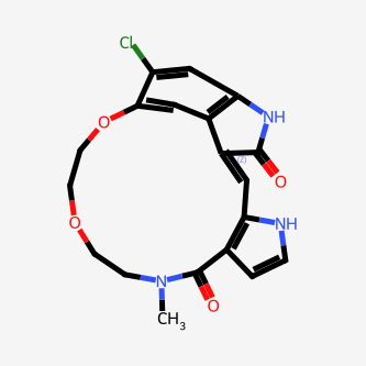 CN1CCOCCOc2cc3c(cc2Cl)NC(=O)/C3=C\c2[nH]ccc2C1=O